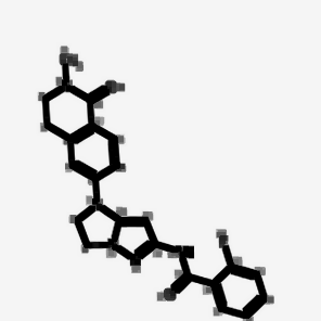 CN1CCc2cc(N3CCn4nc(NC(=O)c5ccccc5F)cc43)ccc2C1=O